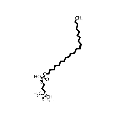 CCCCCCCC/C=C\CCCCCCCCCCCCOP(=O)(O)OCCC[N+](C)(C)C